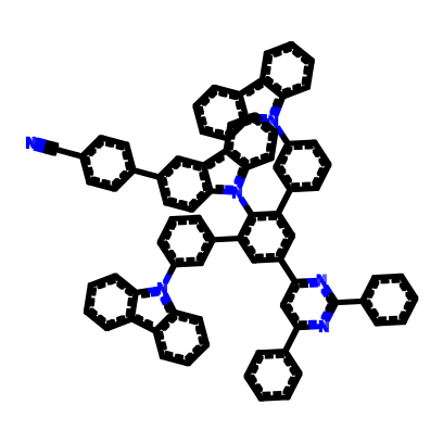 N#Cc1ccc(-c2ccc3c(c2)c2ccccc2n3-c2c(-c3cccc(-n4c5ccccc5c5ccccc54)c3)cc(-c3cc(-c4ccccc4)nc(-c4ccccc4)n3)cc2-c2cccc(-n3c4ccccc4c4ccccc43)c2)cc1